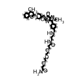 CC(CC(=O)N1CCC(O)(Cn2cnc3c(-c4ccc(CNCCCNC(=O)CCOCCOCCOC=CC(N)=O)cc4)n(C)nc3c2=O)CC1)c1ccccc1